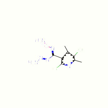 Cc1nc(Cl)c(C(N=NN)=NON)c(C)c1Cl